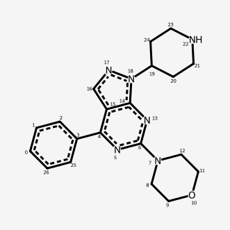 c1ccc(-c2nc(N3CCOCC3)nc3c2cnn3C2CCNCC2)cc1